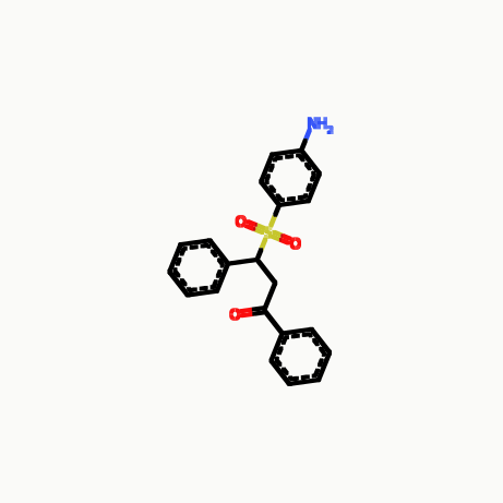 Nc1ccc(S(=O)(=O)C(CC(=O)c2ccccc2)c2ccccc2)cc1